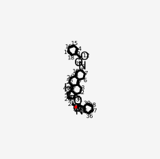 C[C@]12CCC3=C4CC/C(=N/OC(=O)c5ccccc5)C=C4CC[C@H]3[C@@H]1CC[C@]2(CC#N)OC(=O)c1ccccc1